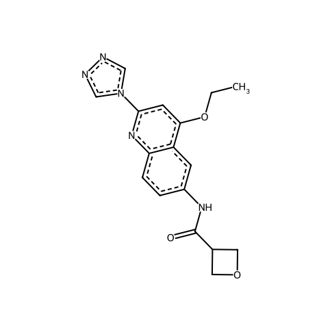 CCOc1cc(-n2cnnc2)nc2ccc(NC(=O)C3COC3)cc12